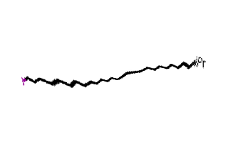 CC(C)CCCCCCCCCCCCCCCCCCCCCCCCI